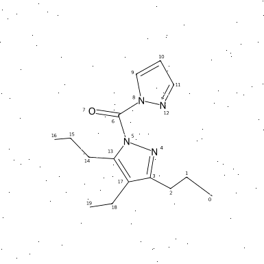 CCCc1nn(C(=O)n2cccn2)c(CCC)c1CC